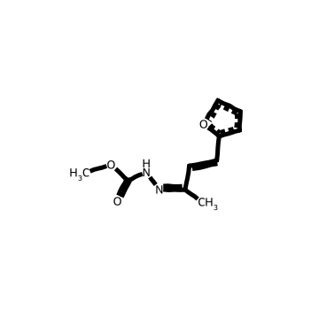 COC(=O)N/N=C(C)\C=C\c1ccco1